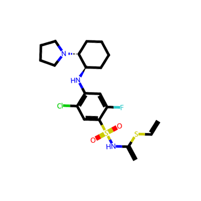 C=CSC(=C)NS(=O)(=O)c1cc(Cl)c(N[C@@H]2CCCC[C@H]2N2CCCC2)cc1F